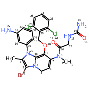 CC1=C(Br)N2CC=C(N(C)C(=O)CNC(N)=O)C(OCc3c(Cl)cccc3Cl)=C2N1c1cccc(N)c1